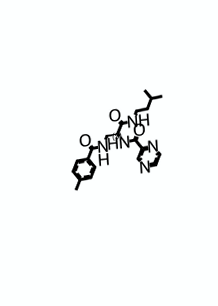 Cc1ccc(C(=O)NC[C@H](NC(=O)c2cnccn2)C(=O)N[CH]CC(C)C)cc1